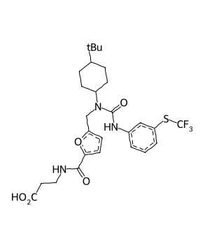 CC(C)(C)C1CCC(N(Cc2ccc(C(=O)NCCC(=O)O)o2)C(=O)Nc2cccc(SC(F)(F)F)c2)CC1